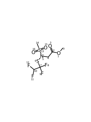 COC(=O)CN(SC(F)(F)C(F)F)S(C)(=O)=O